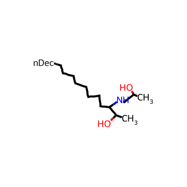 CCCCCCCCCCCCCCCCCCC(NCC(C)O)C(C)O